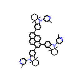 Cc1cc(N2c3ccc(-c4ccc5ccc6c(-c7ccc8c(c7)C7(C)CCCCC7(C)N8c7ccnc(C)c7)cc(-c7ccc8c(c7)C7(C)CCCCC7(C)N8c7ccnc(C)c7)c7ccc4c5c67)cc3C3(C)CCCCC23C)ccn1